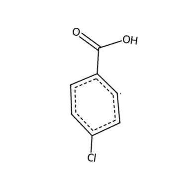 O=C(O)c1[c]cc(Cl)cc1